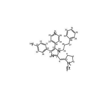 CCN1CCC/C1=C\c1nc(-c2ccc(F)cc2)c(-c2ccncc2)n1CCCc1ccccc1